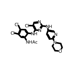 CC(=O)Nc1cc(Cl)c(Cl)cc1Nc1nc(Nc2ccc(N3CCOCC3)nc2)ncc1Cl